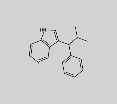 CC(C)C(c1ccccc1)c1c[nH]c2ccncc12